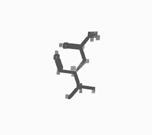 CN(C)[C@H]([C]=O)CC(N)=O